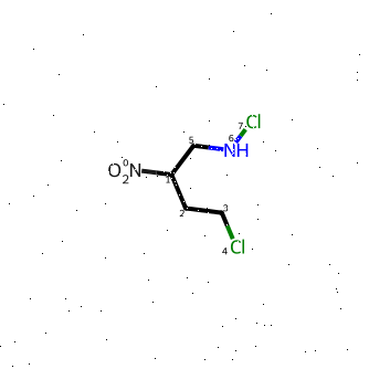 O=[N+]([O-])C(CCCl)CNCl